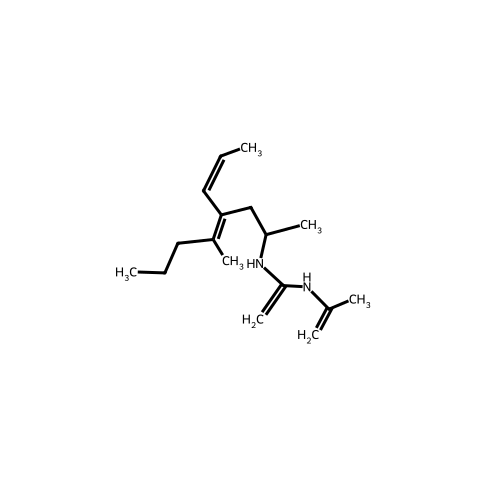 C=C(C)NC(=C)NC(C)CC(/C=C\C)=C(\C)CCC